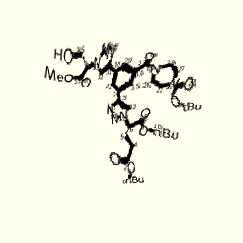 CCCCOC(=O)CC[C@@H](C(=O)OCCCC)n1cc(-c2cc(C(=O)N3CCN(C(=O)OC(C)(C)C)CC3)cc(-c3cn([C@@H](CO)C(=O)OC)nn3)c2)nn1